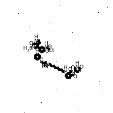 CCS(=O)(=O)Nc1ccc(Oc2cccc(OCc3cn(CCCCCCCCNc4cccc5c4C(=O)N(C4CCC(=O)NC4=O)C5=O)nn3)c2)c(-c2cn(C)c(=O)c3[nH]ccc23)c1